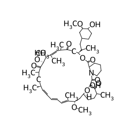 CO[C@H]1C[C@@H]2CCC(C)C(=O)C(O)(O2)C(=O)N2CCCCC2C(=O)O[C@H](C(C)CC2CCC(O)[C@H](OC)C2)CC(=O)C(C)/C=C(\C)C(O)[C@@H](OC)C(=O)C(C)C[C@H](C)/C=C/C=C/C=C/1C